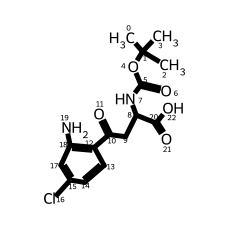 CC(C)(C)OC(=O)NC(CC(=O)c1ccc(Cl)cc1N)C(=O)O